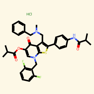 CC(C)C(=O)Nc1ccc(-c2sc3c(c2CN(C)Cc2ccccc2)c(=O)c(OC(=O)C(C)C)cn3Cc2c(F)cccc2F)cc1.Cl